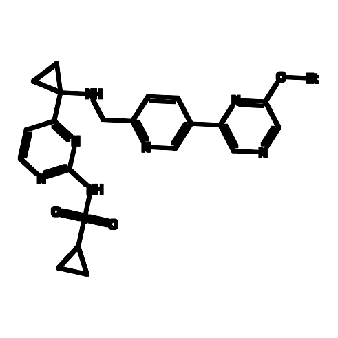 CCOc1cncc(-c2ccc(CNC3(c4ccnc(NS(=O)(=O)C5CC5)n4)CC3)nc2)n1